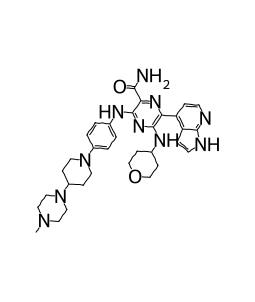 CN1CCN(C2CCN(c3ccc(Nc4nc(NC5CCOCC5)c(-c5ccnc6[nH]ccc56)nc4C(N)=O)cc3)CC2)CC1